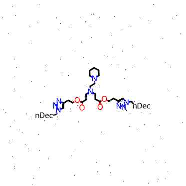 CCCCCCCCCCCn1cc(CCOC(=O)CCN(CCC(=O)OCCc2cn(CCCCCCCCCCC)nn2)CCN2CCCCC2)nn1